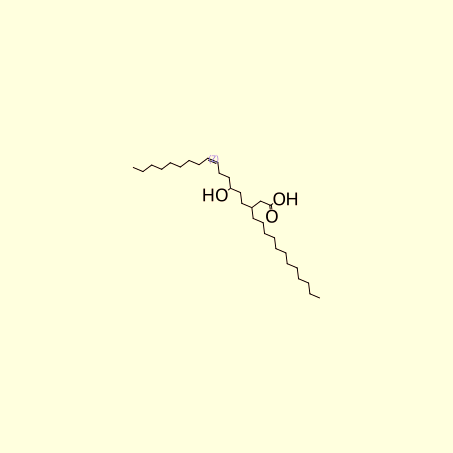 CCCCCCCC/C=C\CCC(O)CCC(CCCCCCCCCCCC)CC(=O)O